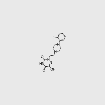 O=c1[nH]c(=O)n(CCN2CCN(c3ccccc3F)CC2)nc1O